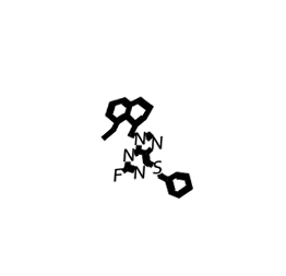 CCc1cccc2cccc(Cn3cnc4c(SCc5ccccc5)nc(F)nc43)c12